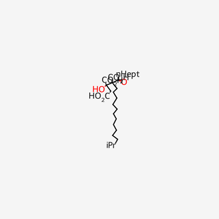 CCCCCCCC(=O)C(CCCCCCCCCCCC(C)C)(C(=O)O)C(O)(CC(=O)O)C(=O)O